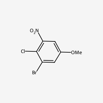 COc1cc(Br)c(Cl)c([N+](=O)[O-])c1